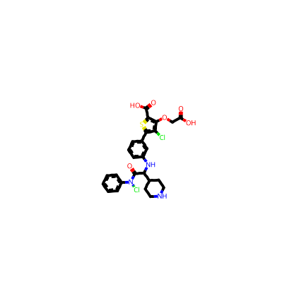 O=C(O)COc1c(C(=O)O)sc(-c2cccc(NC(C(=O)N(Cl)c3ccccc3)C3CCNCC3)c2)c1Cl